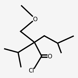 COCC(CC(C)C)(C(=O)Cl)C(C)C